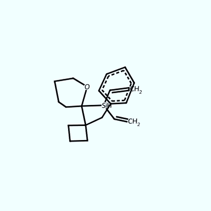 C=C[SiH](C=C)C1(C2(Cc3ccccc3)CCC2)CCCCO1